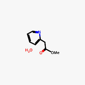 COC(=O)Cc1ccccn1.O